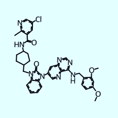 COc1ccc(CNc2ncnc3cc(-n4c(=O)n(CC5CCC(NC(=O)c6cc(Cl)cnc6C)CC5)c5ccccc54)cnc23)c(OC)c1